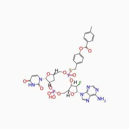 Cc1ccc(C(=O)Oc2ccc(CSP3(=O)OC[C@@H]4C[C@@H](OP(=O)(O)OC[C@H]5O[C@@H](n6cnc7c(N)ncnc76)[C@H](F)[C@@H]5O3)[C@H](n3ccc(=O)[nH]c3=O)O4)cc2)cc1